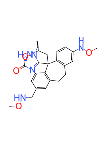 CONCc1ccc2c(c1)CCc1cc(NOC)ccc1C2(C[C@H](C)N)c1nc(=O)on1C